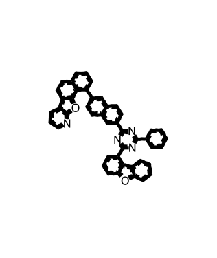 c1ccc(-c2nc(-c3ccc4cc(-c5cccc6ccc7c8cccnc8oc7c56)ccc4c3)nc(-c3cccc4oc5ccccc5c34)n2)cc1